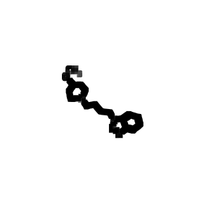 COC1CCN(CCCCn2nnc3ccccc32)CC1